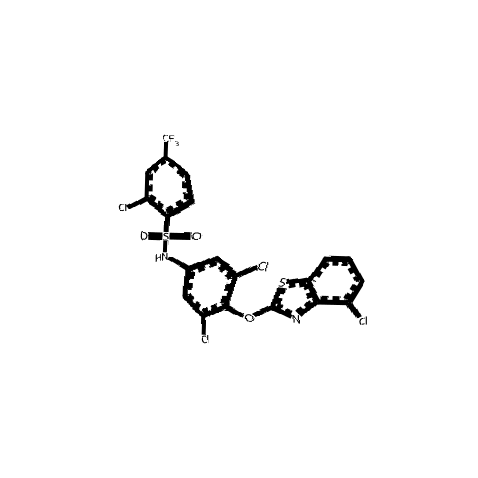 O=S(=O)(Nc1cc(Cl)c(Oc2nc3c(Cl)cccc3s2)c(Cl)c1)c1ccc(C(F)(F)F)cc1Cl